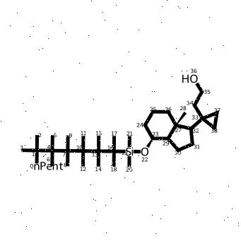 CCCCCC(C)(C)C(C)(C)C(C)(C)C(C)(C)C(C)(C)C(C)(C)[Si](C)(C)O[C@H]1CCC[C@@]2(C)C1CCC2C1(CCO)CC1